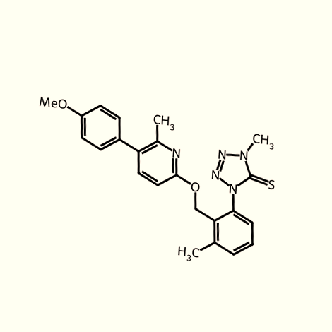 COc1ccc(-c2ccc(OCc3c(C)cccc3-n3nnn(C)c3=S)nc2C)cc1